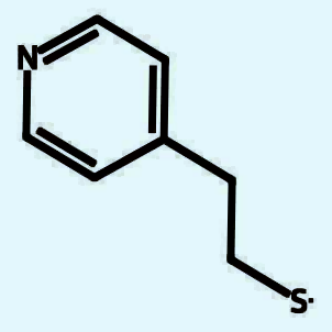 [S]CCc1ccncc1